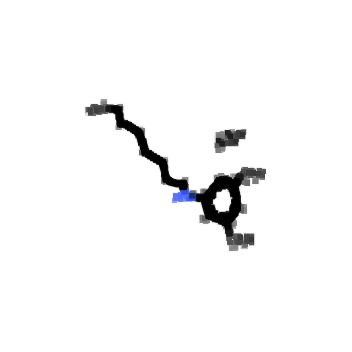 CCCCCCCCCCCCCCCCCNc1cc(C(=O)O)cc(C(=O)O)c1.[NaH].[NaH]